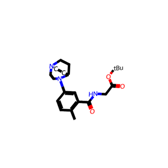 Cc1ccc(N2CCN3CCC2CC3)cc1C(=O)NCC(=O)OC(C)(C)C